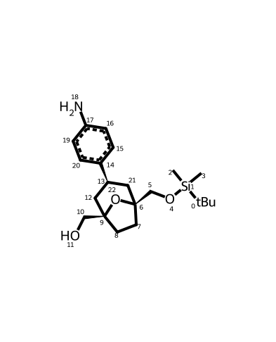 CC(C)(C)[Si](C)(C)OC[C@]12CC[C@](CO)(C[C@@H](c3ccc(N)cc3)C1)O2